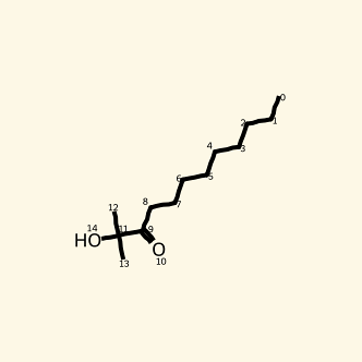 CCCCCCCCCC(=O)C(C)(C)O